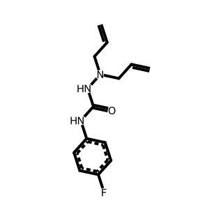 C=CCN(CC=C)NC(=O)Nc1ccc(F)cc1